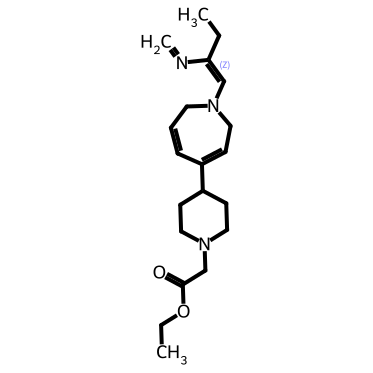 C=N/C(=C\N1CC=CC(C2CCN(CC(=O)OCC)CC2)=CC1)CC